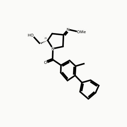 CON=C1C[C@@H](CO)N(C(=O)c2ccc(-c3ccccc3)c(C)c2)C1